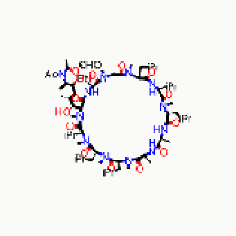 CC[C@@H]1NC(=O)C([C@H](O)[C@H](C)CC(O)C(C)N(C(C)=O)C(C)OC=O)N(C)C(=O)[C@H](C(C)C)N(C)C(=O)[C@H](CC(C)C)N(C)C(=O)[C@H](CC(C)C)N(C)C(=O)[C@H](C)NC(=O)[C@H](C)NC(=O)[C@H](CC(C)C)N(C)C(=O)[C@H](C(C)C)NC(=O)[C@H](CC(C)C)N(C)C(=O)CN(C)C1=O